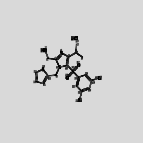 CC(C)c1nc(CO)n(Cc2cccs2)c1S(=O)(=O)c1cc(Cl)cc(Cl)c1.Cl